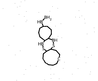 BBC1CCCC2BSC3CCCCCCCCCC3SBC2CCC1